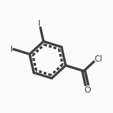 O=C(Cl)c1ccc(I)c(I)c1